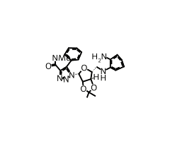 CNC(=O)c1nnn([C@@H]2O[C@H](CNc3ccccc3N)[C@H]3OC(C)(C)OC23)c1-c1ccccc1